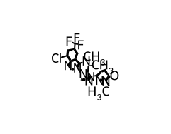 CCn1nc(-n2ncnc2[C@H](C)N(C)c2ncnc3c(Cl)cc(C(F)(F)F)cc23)ccc1=O